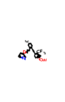 N#Cc1ccc(C#Cc2ccc(O)cc2C(F)(F)F)c(CCCOc2cccnc2)c1